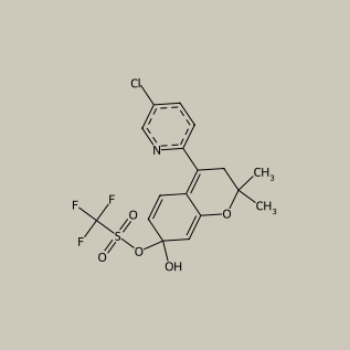 CC1(C)CC(c2ccc(Cl)cn2)=C2C=CC(O)(OS(=O)(=O)C(F)(F)F)C=C2O1